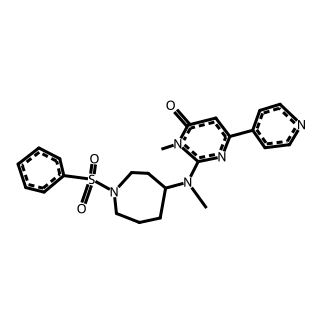 CN(c1nc(-c2ccncc2)cc(=O)n1C)C1CCCN(S(=O)(=O)c2ccccc2)CC1